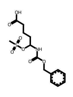 CS(=O)(=O)OC(CCCC(=O)O)NC(=O)OCc1ccccc1